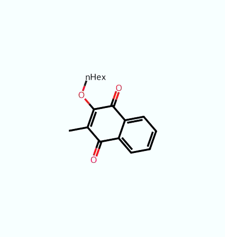 CCCCCCOC1=C(C)C(=O)c2ccccc2C1=O